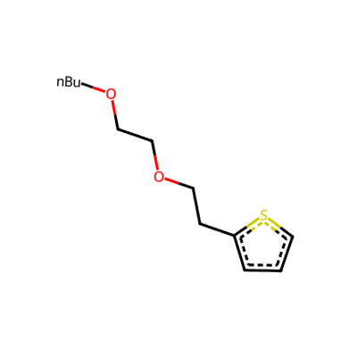 CCCCOCCOCCc1cccs1